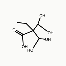 CCC(C(=O)O)(C(O)O)C(O)O